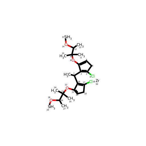 CC(C1=C(Cl)CC=C1OC(C)(C)C(C)O[SiH3])C1=C(Cl)CC=C1OC(C)(C)C(C)O[SiH3].[Zr]